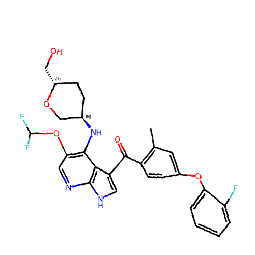 Cc1cc(Oc2ccccc2F)ccc1C(=O)c1c[nH]c2ncc(OC(F)F)c(N[C@@H]3CC[C@@H](CO)OC3)c12